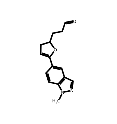 Cn1ncc2cc(C3=CCC(CCC=O)O3)ccc21